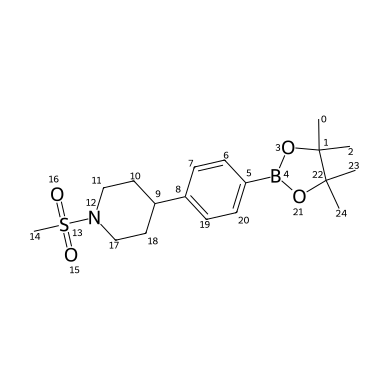 CC1(C)OB(c2ccc(C3CCN(S(C)(=O)=O)CC3)cc2)OC1(C)C